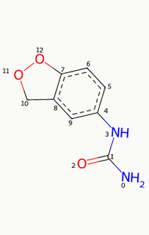 NC(=O)Nc1ccc2c(c1)COO2